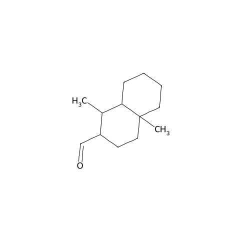 CC1C(C=O)CCC2(C)CCCCC12